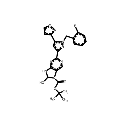 CC(C)(C)OC(=O)N1c2cnc(-c3cc(-c4ccon4)n(Cc4ccccc4F)n3)nc2NC1O